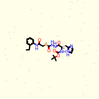 CCc1ccccc1NC(=O)CSC(=O)NNC(=O)[C@H](Cc1ncc[nH]1)NC(=O)OC(C)(C)C